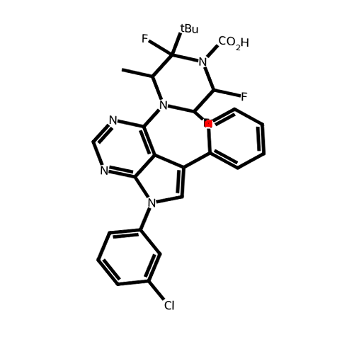 CC1N(c2ncnc3c2c(-c2ccccn2)cn3-c2cccc(Cl)c2)C(F)C(F)N(C(=O)O)C1(F)C(C)(C)C